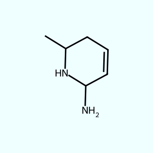 CC1CC=CC(N)N1